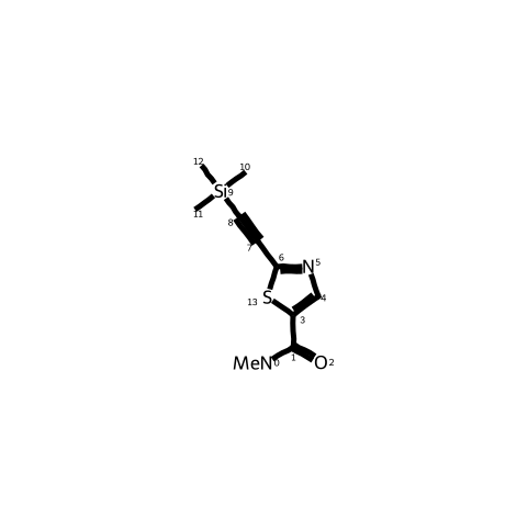 CNC(=O)c1cnc(C#C[Si](C)(C)C)s1